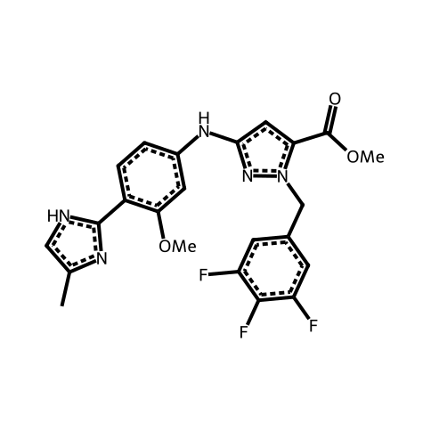 COC(=O)c1cc(Nc2ccc(-c3nc(C)c[nH]3)c(OC)c2)nn1Cc1cc(F)c(F)c(F)c1